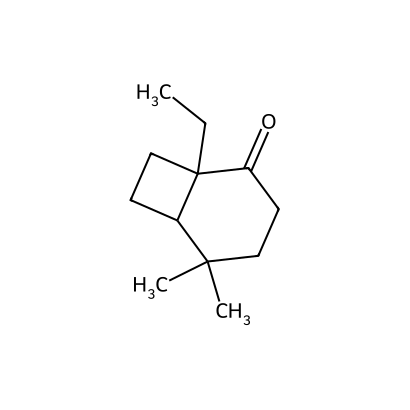 CCC12CCC1C(C)(C)CCC2=O